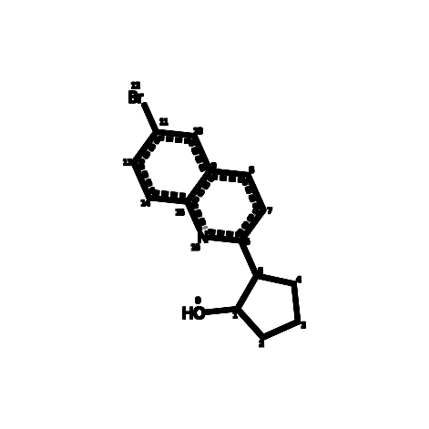 OC1CCCC1c1ccc2cc(Br)ccc2n1